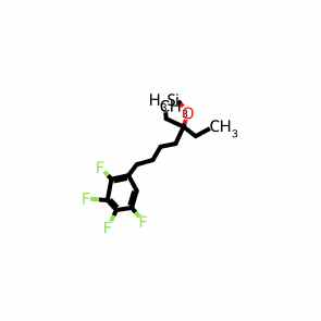 CCC(CC)(CCCCc1cc(F)c(F)c(F)c1F)O[SiH3]